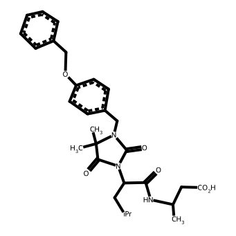 CC(C)CC(C(=O)NC(C)CC(=O)O)N1C(=O)N(Cc2ccc(OCc3ccccc3)cc2)C(C)(C)C1=O